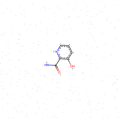 [NH]C(=O)c1ncccc1O